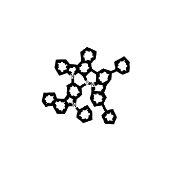 c1ccc(-c2ccc3c(c2)c2cc(-c4ccccc4)cc4c2n3B2c3cc5c(cc3-n3c6ccccc6c6c7ccccc7c-4c2c63)c2c3ccccc3ccc2n5-c2ccccc2)cc1